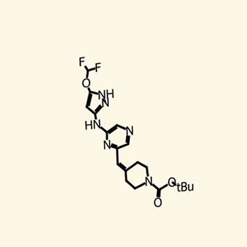 CC(C)(C)OC(=O)N1CCC(=Cc2cncc(Nc3cc(OC(F)F)[nH]n3)n2)CC1